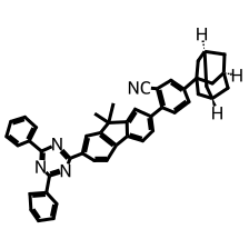 CC1(C)c2cc(-c3nc(-c4ccccc4)nc(-c4ccccc4)n3)ccc2-c2ccc(-c3ccc(C45C[C@H]6C[C@H](C4)C[C@@H](C5)C6)cc3C#N)cc21